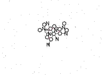 N#Cc1ccc(-c2c(C#N)c(-c3ccc(C#N)cc3)c(-n3c4ccccc4c4cc(N(c5ccccc5)c5ccccc5)ccc43)c(-c3ccc(C#N)cc3)c2-n2c3c(c4ccccc42)C[C@H](N(c2ccccc2)c2ccccc2)C=C3)cc1